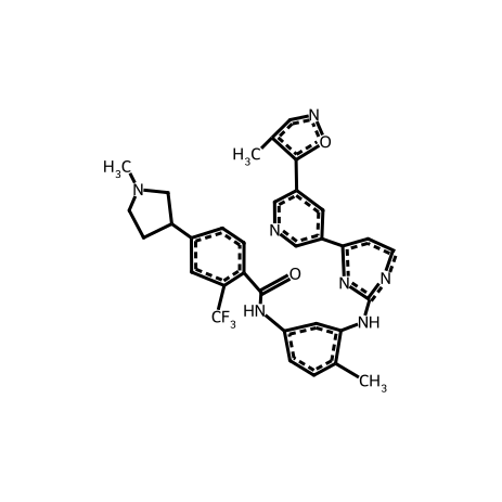 Cc1ccc(NC(=O)c2ccc(C3CCN(C)C3)cc2C(F)(F)F)cc1Nc1nccc(-c2cncc(-c3oncc3C)c2)n1